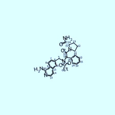 CCS(=O)(=O)N(Cc1ccc2c(N)nccc2c1)[C@@H](C(=O)N1CCC[C@H]1C(N)=O)c1ccccc1